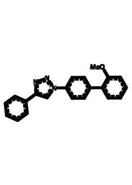 COc1ccccc1-c1ccc(-n2cc(-c3ccccc3)nn2)cc1